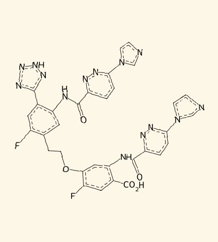 O=C(Nc1cc(OCCc2cc(NC(=O)c3ccc(-n4ccnc4)nn3)c(-c3nn[nH]n3)cc2F)c(F)cc1C(=O)O)c1ccc(-n2ccnc2)nn1